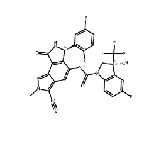 [C-]#[N+]c1c2cc(NC(=O)N3C[C@@](O)(C(F)(F)F)c4cc(F)ccc43)c3c(c2nn1C)C(=O)N[C@H]3c1cc(F)ccc1Cl